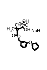 CC1(C)C(C(=O)OCc2cccc(Oc3ccccc3)c2)C1C(O)S(=O)(=O)O.[NaH]